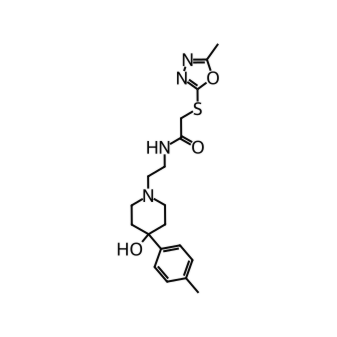 Cc1ccc(C2(O)CCN(CCNC(=O)CSc3nnc(C)o3)CC2)cc1